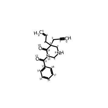 C#CC[C@@]1(CC=C)CNCN(C(=O)c2ccccc2)C1=O